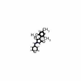 Cc1cc(C)c(C2C(=O)C/C(=C\C3CCOCC3)C2=O)c(C)c1